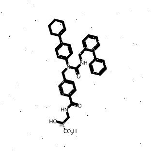 O=C(NC[C@@H](O)C(=O)O)c1ccc(CN(C(=O)NCc2ccccc2-c2ccccc2)c2ccc(C3=CCCCC3)cc2)cc1